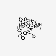 CC(=O)[C@]1(O)Cc2c(O)c3c(c(O)c2[C@@H](O[C@H]2C[C@H](N)[C@H](O)[C@H](C)O2)C1)C(=O)c1ccccc1C3=O.CC/C(=C(\c1ccc(I)cc1)c1ccc(OCCN2CCCC2)cc1)c1ccccc1